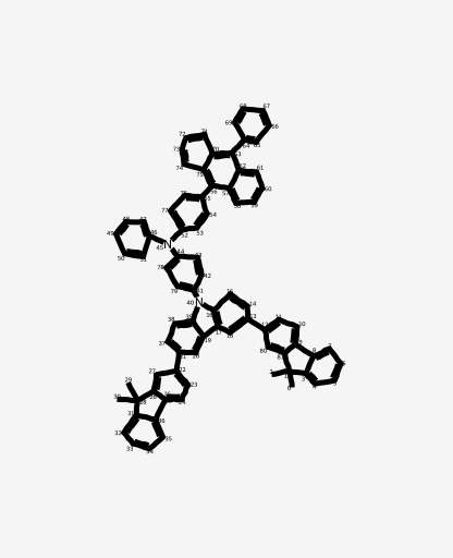 CC1(C)c2ccccc2-c2ccc(-c3ccc4c(c3)c3cc(-c5ccc6c(c5)C(C)(C)c5ccccc5-6)ccc3n4-c3ccc(N(c4ccccc4)c4ccc(-c5c6ccccc6c(-c6ccccc6)c6ccccc56)cc4)cc3)cc21